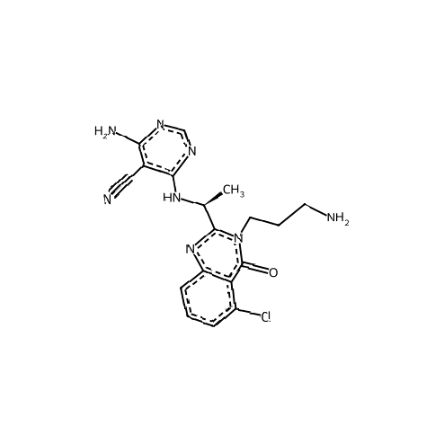 C[C@H](Nc1ncnc(N)c1C#N)c1nc2cccc(Cl)c2c(=O)n1CCCN